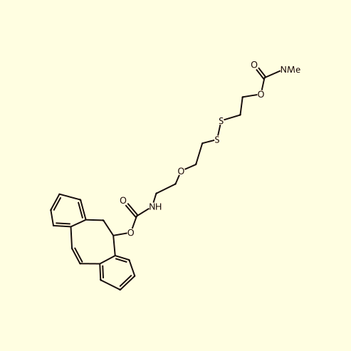 CNC(=O)OCCSSCCOCCNC(=O)OC1Cc2ccccc2/C=C\c2ccccc21